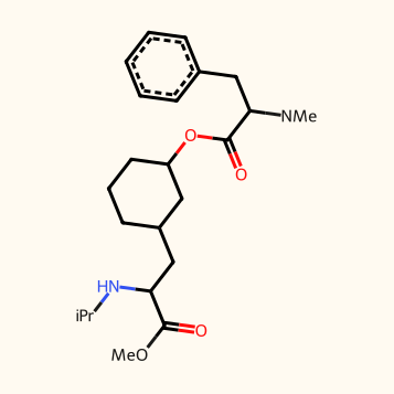 CNC(Cc1ccccc1)C(=O)OC1CCCC(CC(NC(C)C)C(=O)OC)C1